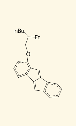 CCCCC(CC)COc1cccc2c1C=C1C2=Cc2ccccc21